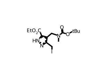 CCOC(=O)c1[nH]nc(CI)c1CN(C)C(=O)OC(C)(C)C